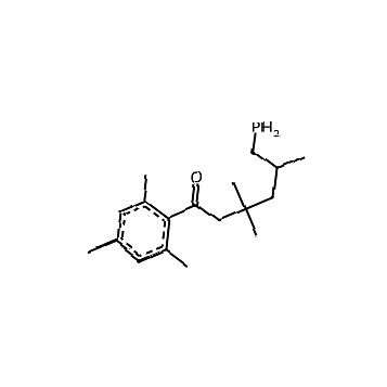 Cc1cc(C)c(C(=O)CC(C)(C)CC(C)CP)c(C)c1